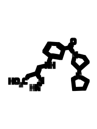 N=N/C(=C\Nc1cccc(C(=O)N2CCC(N3CCCC3)C2)c1)CC(=O)O